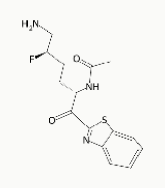 CC(=O)N[C@@H](CC[C@@H](F)CN)C(=O)c1nc2ccccc2s1